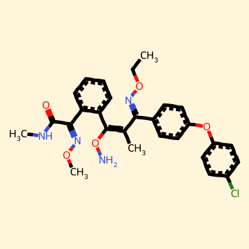 CCON=C(C(C)=C(ON)c1ccccc1C(=NOC)C(=O)NC)c1ccc(Oc2ccc(Cl)cc2)cc1